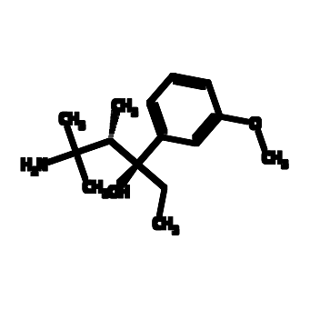 CC[C@@](O)(c1cccc(OC)c1)[C@@H](C)C(C)(C)N